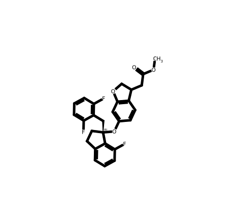 COC(=O)CC1COc2cc(O[C@@]3(Cc4c(F)cccc4F)CCc4cccc(F)c43)ccc21